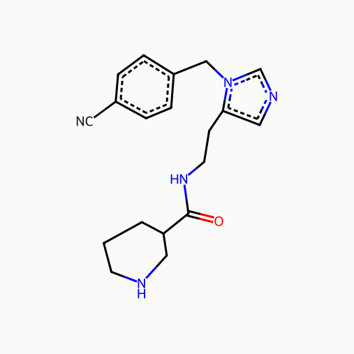 N#Cc1ccc(Cn2cncc2CCNC(=O)C2CCCNC2)cc1